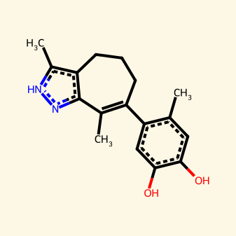 CC1=C(c2cc(O)c(O)cc2C)CCCc2c1n[nH]c2C